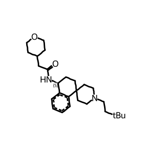 CC(C)(C)CCN1CCC2(CC[C@H](NC(=O)CC3CCOCC3)c3ccccc32)CC1